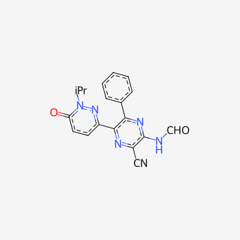 CC(C)n1nc(-c2nc(C#N)c(NC=O)nc2-c2ccccc2)ccc1=O